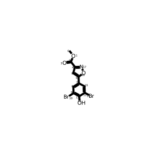 COC(=O)c1cc(-c2cc(Br)c(O)c(Br)c2)on1